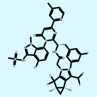 Cc1ccnc(-c2cc(=O)n(-c3ccc(Cl)c4c(NS(C)(=O)=O)nn(C)c34)c([C@H](Cc3cc(F)cc(F)c3)NC(=O)Cn3nc(C(F)F)c4c3C(F)(F)[C@@H]3C[C@H]43)n2)c1